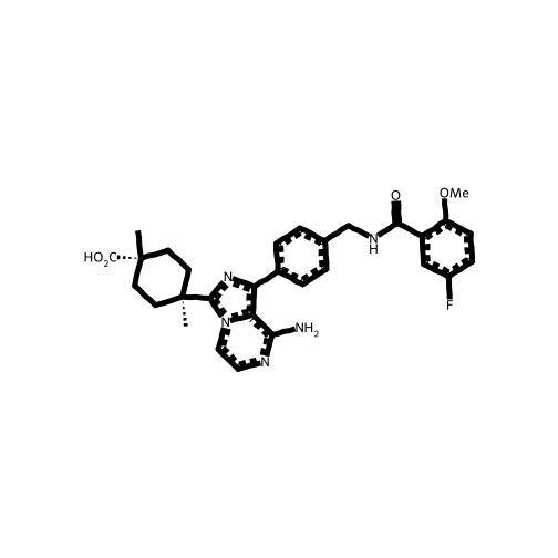 COc1ccc(F)cc1C(=O)NCc1ccc(-c2nc([C@]3(C)CC[C@@](C)(C(=O)O)CC3)n3ccnc(N)c23)cc1